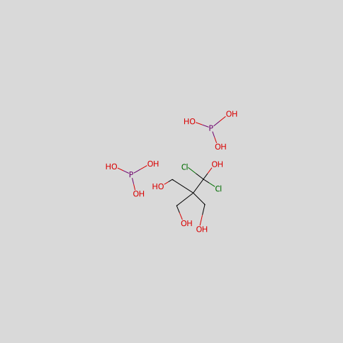 OCC(CO)(CO)C(O)(Cl)Cl.OP(O)O.OP(O)O